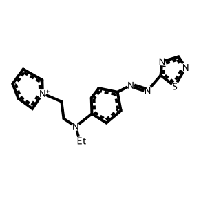 CCN(CC[n+]1ccccc1)c1ccc(N=Nc2ncns2)cc1